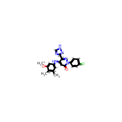 COc1cc(Nc2cc(=O)n(-c3ccc(Cl)cc3)nc2-c2nc[nH]n2)cc(C)c1C